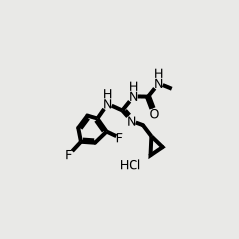 CNC(=O)NC(=NCC1CC1)Nc1ccc(F)cc1F.Cl